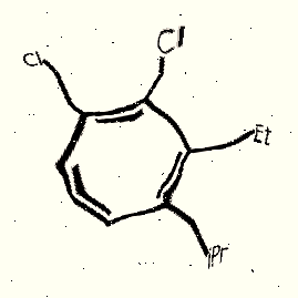 CCc1c(C(C)C)ccc(Cl)c1Cl